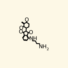 C=C1C(=O)CCC(C2C(=O)c3cccc(NCCCCN)c3C2=O)C1=O